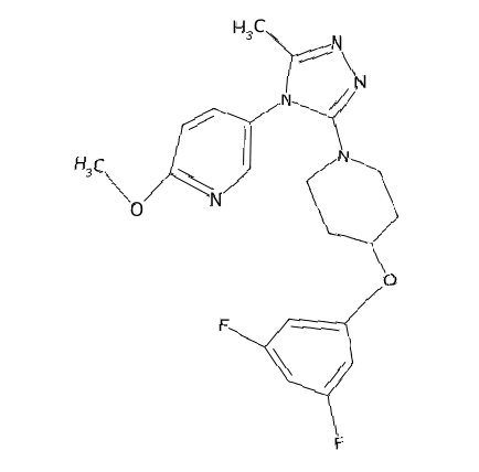 COc1ccc(-n2c(C)nnc2N2CCC(Oc3cc(F)cc(F)c3)CC2)cn1